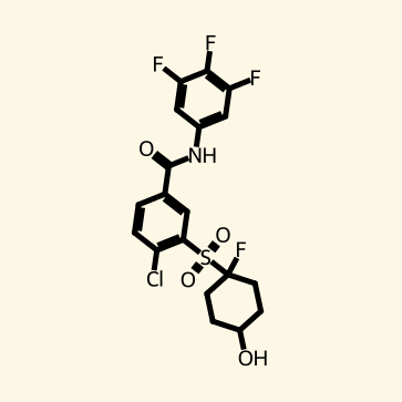 O=C(Nc1cc(F)c(F)c(F)c1)c1ccc(Cl)c(S(=O)(=O)C2(F)CCC(O)CC2)c1